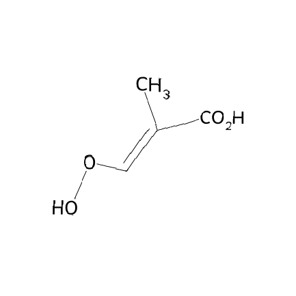 CC(=COO)C(=O)O